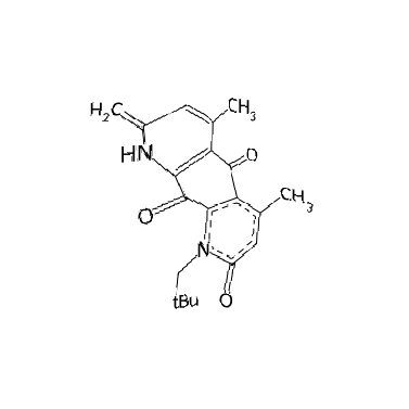 C=C1C=C(C)C2=C(N1)C(=O)c1c(c(C)cc(=O)n1CC(C)(C)C)C2=O